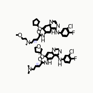 CN(C)C/C=C/C(=O)Nc1cc2c(Nc3ccc(F)c(Cl)c3)ncnc2cc1O[C@H]1CCOC1.COCCN(C)C/C=C/C(=O)Nc1cc2c(Nc3ccc(F)c(Cl)c3)ncnc2cc1OC1CCCC1